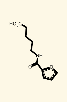 O=C(O)CCCCNC(=O)c1ccco1